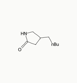 CCCCC[C]1CNC(=O)C1